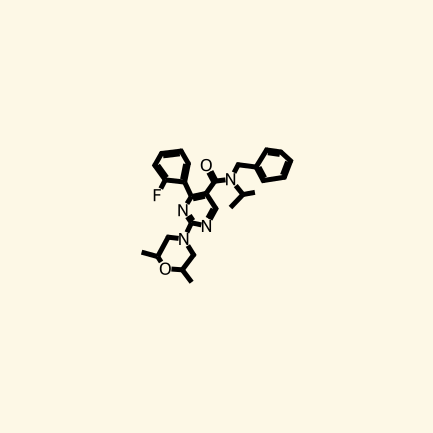 CC1CN(c2ncc(C(=O)N(Cc3ccccc3)C(C)C)c(-c3ccccc3F)n2)CC(C)O1